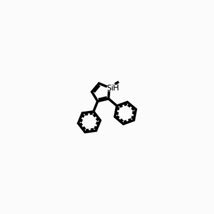 C[SiH]1C=CC(c2ccccc2)=C1c1ccccc1